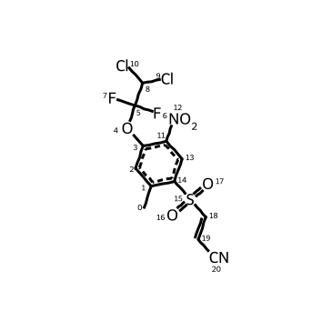 Cc1cc(OC(F)(F)C(Cl)Cl)c([N+](=O)[O-])cc1S(=O)(=O)C=CC#N